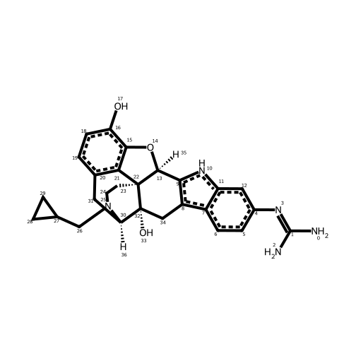 NC(N)=Nc1ccc2c3c([nH]c2c1)[C@@H]1Oc2c(O)ccc4c2[C@@]12CCN(CC1CC1)[C@H](C4)[C@]2(O)C3